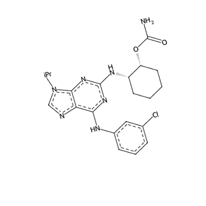 CC(C)n1cnc2c(Nc3cccc(Cl)c3)nc(N[C@H]3CCCC[C@H]3OC(N)=O)nc21